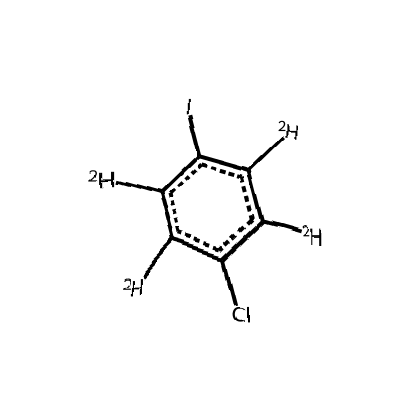 [2H]c1c([2H])c(I)c([2H])c([2H])c1Cl